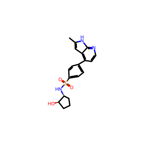 Cc1cc2c(-c3ccc(S(=O)(=O)N[C@H]4CCC[C@H]4O)cc3)ccnc2[nH]1